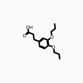 CCCOc1ccc(CCC(=O)O)cc1OCCC